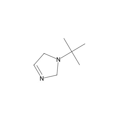 CC(C)(C)N1CC=NC1